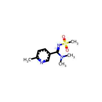 Cc1ccc(/C(=N/S(C)(=O)=O)N(C)C)cn1